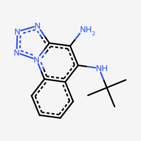 CC(C)(C)Nc1c(N)c2nnnn2c2ccccc12